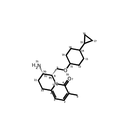 Cc1ccc2n(c1=O)[C@@H](COC1CCC(C3CC3)CC1)[C@@H](N)CC2